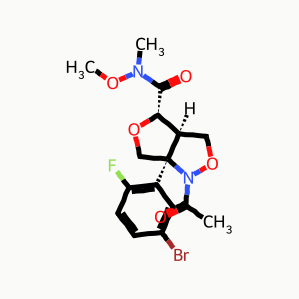 CON(C)C(=O)[C@H]1OC[C@@]2(c3cc(Br)ccc3F)[C@@H]1CON2C(C)=O